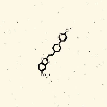 O=C(O)c1ccc2oc(CCC3CCN(c4ccc(Cl)nn4)CC3)nc2c1